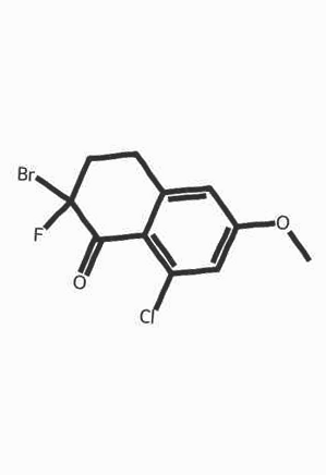 COc1cc(Cl)c2c(c1)CCC(F)(Br)C2=O